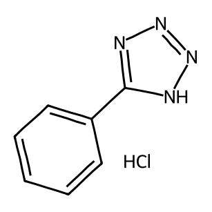 Cl.c1ccc(-c2nnn[nH]2)cc1